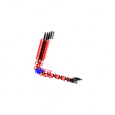 O=[Si]([O-])[O-].O=[Si]([O-])[O-].O=[Si]([O-])[O-].O=[Si]([O-])[O-].[Hf+4].[Hf+4].[Hf+4].[Hf+4].[Hf+4].[Hf+4].[Hf+4].[Hf+4].[Hf+4].[N-3].[N-3].[N-3].[N-3].[O]=[Al][O-].[O]=[Al][O-].[O]=[Al][O-].[O]=[Al][O-].[O]=[Al][O-].[O]=[Al][O-].[O]=[Al][O-].[O]=[Al][O-].[O]=[Al][O-].[O]=[Al][O-].[O]=[Al][O-].[O]=[Al][O-].[O]=[Al][O-].[O]=[Al][O-].[O]=[Al][O-].[O]=[Al][O-]